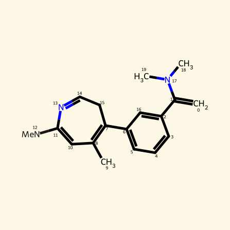 C=C(c1cccc(C2=C(C)C=C(NC)N=CC2)c1)N(C)C